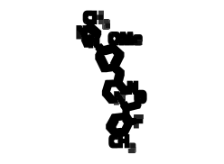 COc1cc(/C=C2\CCCN3C2=NOCC3c2ccc(C)cc2F)ccc1-n1cnc(C)c1